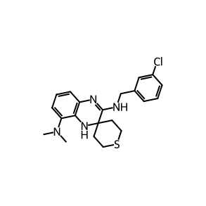 CN(C)c1cccc2c1NC1(CCSCC1)C(NCc1cccc(Cl)c1)=N2